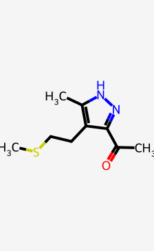 CSCCc1c(C(C)=O)n[nH]c1C